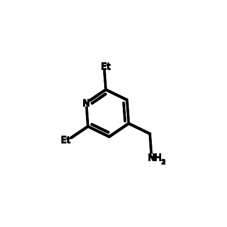 CCc1cc(CN)cc(CC)n1